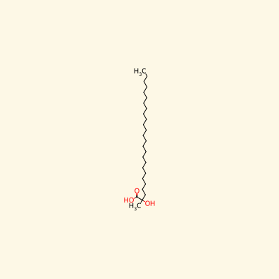 CCCCCCCCCCCCCCCCCCCCCCCCC(C)(O)C(=O)O